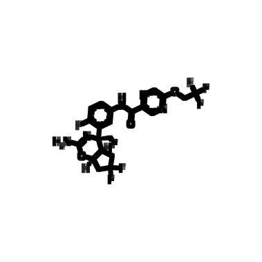 NC1=N[C@](CF)(c2cc(NC(=O)c3cnc(OCC(F)(F)F)cn3)ccc2F)[C@H]2CC(F)(F)C[C@H]2O1